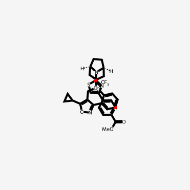 COC(=O)c1ccc(-c2csc(N3[C@@H]4CC[C@H]3CC(OCc3c(-c5ccccc5OC(F)(F)F)noc3C3CC3)C4)n2)cn1